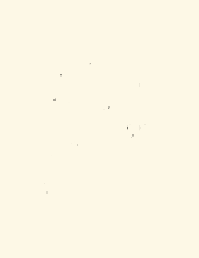 O=CCOc1cccc(C=O)c1C=O